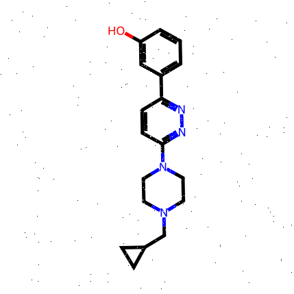 Oc1cccc(-c2ccc(N3CCN(CC4CC4)CC3)nn2)c1